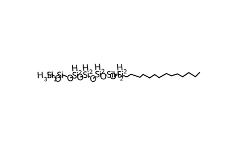 CCCCCCCCCCCCCC[SiH2]O[SiH2]O[SiH2]O[SiH2]O[SiH2]O[SiH2]O[SiH3]